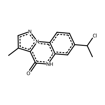 Cc1cnn2c1c(=O)[nH]c1cc(C(C)Cl)ccc12